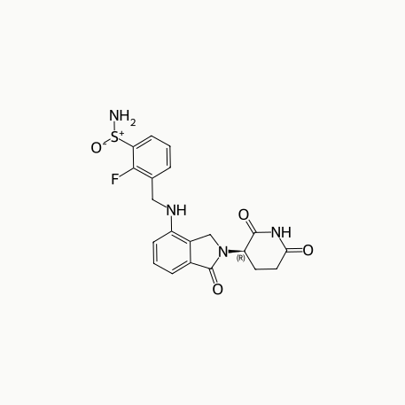 N[S+]([O-])c1cccc(CNc2cccc3c2CN([C@@H]2CCC(=O)NC2=O)C3=O)c1F